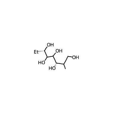 CC[C@H](O)C(O)C(O)[C@@H](O)C(C)CO